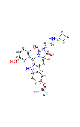 CC12Cc3c([nH]c4ccc(OC(F)F)cc34)C(c3cccc(O)c3)N1C(=O)N(CCNC1CCC1)C2=O